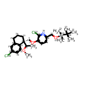 COC(C)[C@]1(COc2ccc(CO[Si](C)(C)C(C)(C)C)nc2Cl)CCCc2cc(Cl)ccc21